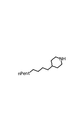 CCCCCCCC[CH]C1CCNCC1